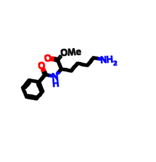 COC(=O)C(CCCCN)NC(=O)c1ccccc1